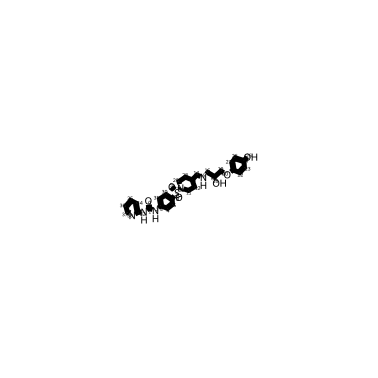 O=C(Nc1ccc(S(=O)(=O)N2CCC(CNC[C@H](O)COc3ccc(O)cc3)CC2)cc1)Nc1ccccn1